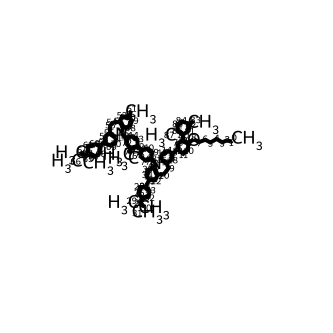 CCCCCCCCOc1ccc(-c2ccc3c(c2)CCc2cc(-c4ccc(C(C)(C)C)cc4)ccc2N3c2ccc(-c3ccc(N4c5ccc(C)cc5CCc5cc(-c6ccc(C(C)(C)C)cc6)ccc54)cc3C)c(C)c2)cc1-c1cc(C)ccc1C